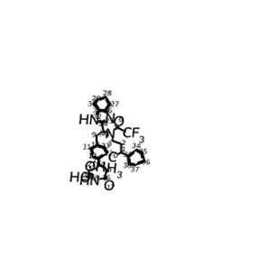 CC(CCN(C(=O)C(F)(F)F)[C@@H](Cc1ccc(C2CC(=O)NS2(O)O)cc1)c1nc2ccccc2[nH]1)c1ccccc1